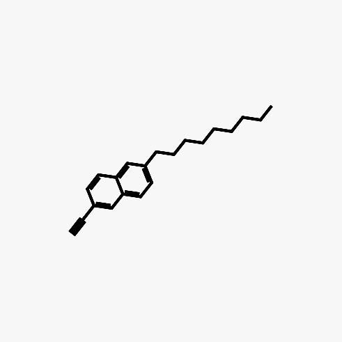 C#Cc1ccc2cc(CCCCCCCCC)ccc2c1